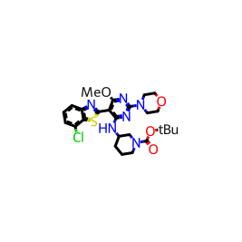 COc1nc(N2CCOCC2)nc(NC2CCCN(C(=O)OC(C)(C)C)C2)c1-c1nc2cccc(Cl)c2s1